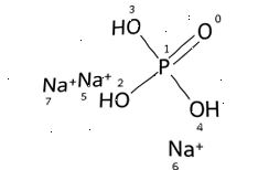 O=P(O)(O)O.[Na+].[Na+].[Na+]